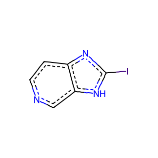 Ic1nc2ccncc2[nH]1